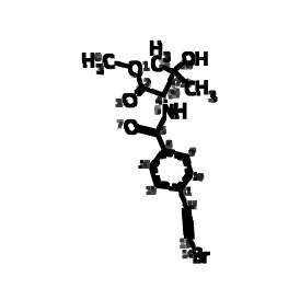 COC(=O)[C@@H](NC(=O)c1ccc(C#CBr)cc1)C(C)(C)O